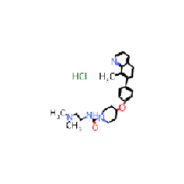 Cc1c(-c2ccc(OC3CCN(C(=O)NCCN(C)C)CC3)cc2)ccc2cccnc12.Cl